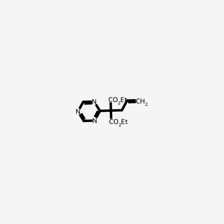 C=CCC(C(=O)OCC)(C(=O)OCC)c1ncncn1